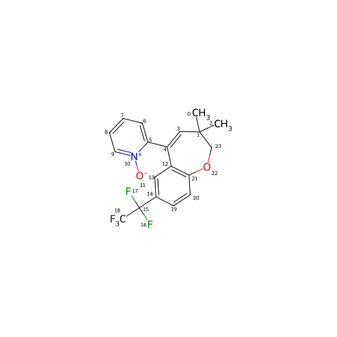 CC1(C)C=C(c2cccc[n+]2[O-])c2cc(C(F)(F)C(F)(F)F)ccc2OC1